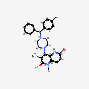 Cc1ccc(C(c2ccccc2)N2CCN(c3c(C#N)c(=O)n(C)c4ccc(Br)nc34)CC2)cc1